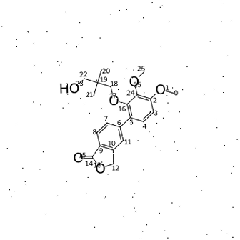 COc1ccc(-c2ccc3c(c2)COC3=O)c(OCC(C)(C)CO)c1OC